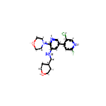 Fc1cc(-c2cnc(N3CCOCC3)c(NCC3CCOCC3)c2)c(Cl)cn1